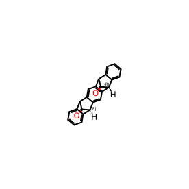 O=C1C2c3ccccc3[C@@H]1c1cc3c(cc12)C1C(=O)[C@@H]3c2ccccc21